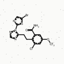 NC(=O)c1cc(OC(F)(F)F)cc(Cl)c1CCc1ncnn1-c1ncc(Br)s1